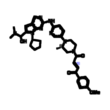 COc1ccc(C(=O)/C=C/C(=O)N2CCN(c3ccc(Nc4ncc5cc(C(O)N(C)C)n(C6CCCC6)c5n4)nc3)[C@@H](C)C2)cc1